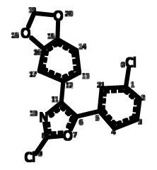 Clc1cccc(-c2oc(Cl)nc2-c2ccc3c(c2)OCO3)c1